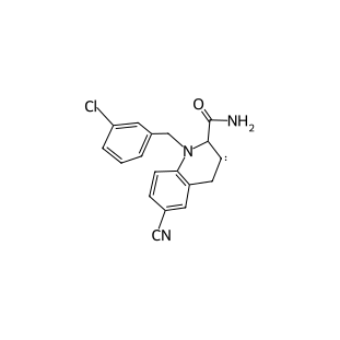 N#Cc1ccc2c(c1)C[C]C(C(N)=O)N2Cc1cccc(Cl)c1